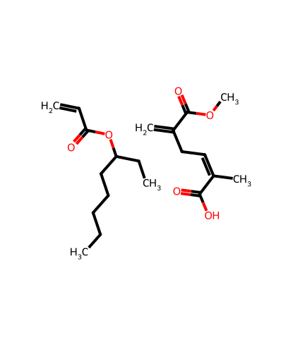 C=C(CC=C(C)C(=O)O)C(=O)OC.C=CC(=O)OC(CC)CCCCC